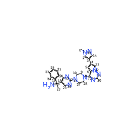 Cn1cc(-c2cc3c(N4CCN(c5ncc([C@](C)(N)c6ccccc6)cn5)CC4)ncnn3c2)cn1